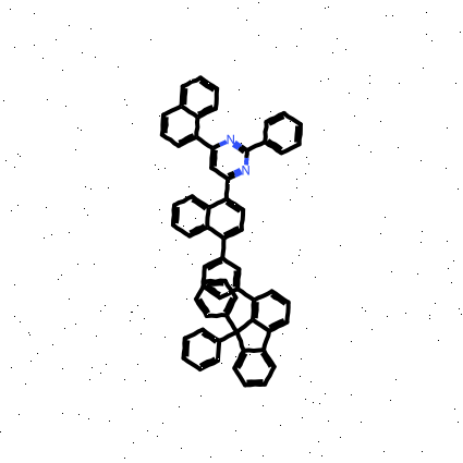 c1ccc(-c2nc(-c3cccc4ccccc34)cc(-c3ccc(-c4cccc(-c5cccc6c5C(c5ccccc5)(c5ccccc5)c5ccccc5-6)c4)c4ccccc34)n2)cc1